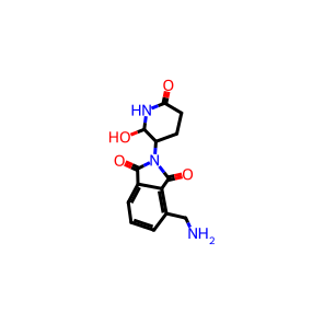 NCc1cccc2c1C(=O)N(C1CCC(=O)NC1O)C2=O